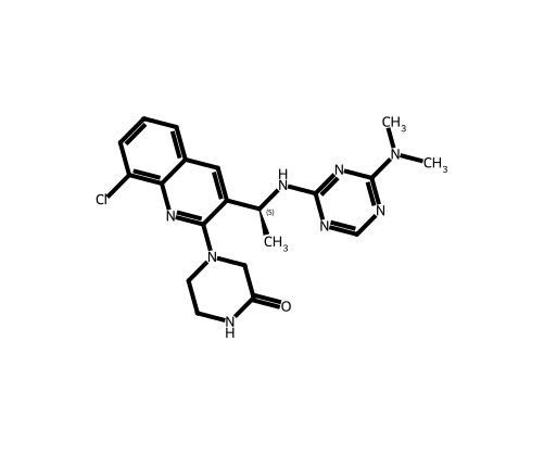 C[C@H](Nc1ncnc(N(C)C)n1)c1cc2cccc(Cl)c2nc1N1CCNC(=O)C1